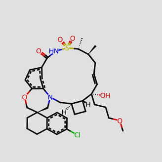 COCCC[C@]1(O)/C=C/C[C@H](C)[C@@H](C)S(=O)(=O)NC(=O)c2ccc3c(c2)N(C[C@@H]2CC[C@H]21)C[C@@]1(CCCc2cc(Cl)ccc21)CO3